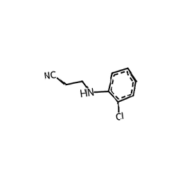 N#CCCNc1ccccc1Cl